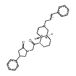 O=C1CC(c2ccccc2)CN1CC(=O)N1CCC[C@@H]2CN(C/C=C/c3ccccc3)CC[C@H]21